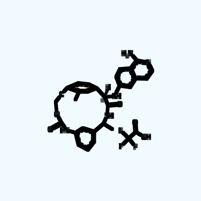 Cc1cc2ccc1CCOC(=O)Nc1cccc(c1)C(C)NC(=O)[C@@H]2Nc1ccc2c(N)nccc2c1.O=C(O)C(F)(F)F